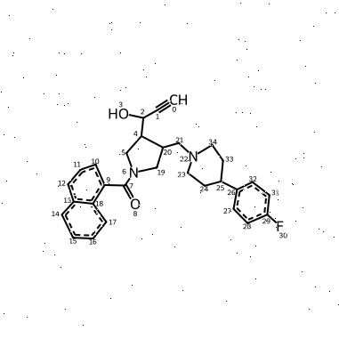 C#CC(O)C1CN(C(=O)c2cccc3ccccc23)CC1CN1CCC(c2ccc(F)cc2)CC1